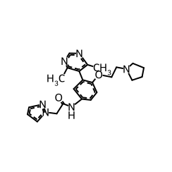 Cc1ncnc(C)c1-c1cc(NC(=O)Cn2cccn2)ccc1OCCN1CCCC1